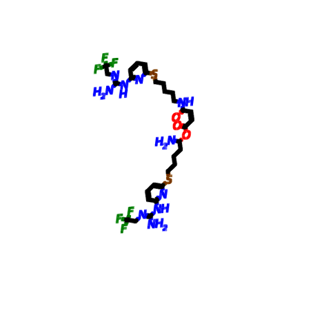 NC(=NCC(F)(F)F)Nc1cccc(SCCCCCNC(=O)/C=C\C(=O)OC(N)CCCCSc2cccc(NC(N)=NCC(F)(F)F)n2)n1